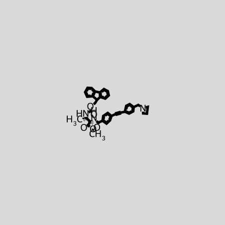 COC(=O)[C@@H](NC(=O)c1ccc(C#Cc2ccc(CN3CCC3)cc2)cc1)[C@@H](C)NC(=O)OCC1c2ccccc2-c2ccccc21